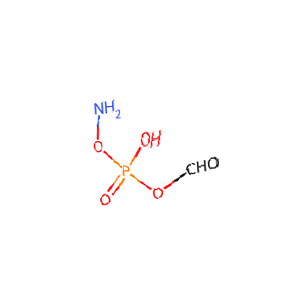 NOP(=O)(O)OC=O